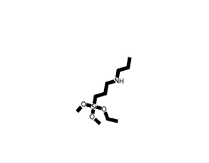 CCCNCCC[Si](OC)(OC)OCC